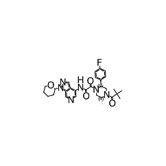 C[C@@H]1CN(C(=O)C(=O)Nc2cncc3c2cnn3C2CCCCO2)[C@@H](c2ccc(F)cc2)CN1C(=O)C(C)(C)C